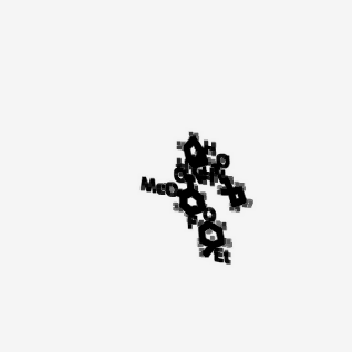 CC[C@]1(C)CC[C@H](Oc2cc(C(=O)N[C@@H]3[C@H]4CC[C@H](C4)[C@@H]3C(=O)NCC3(C)CCC3)c(OC)cc2F)CC1